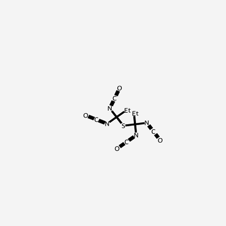 CCC(N=C=O)(N=C=O)SC(CC)(N=C=O)N=C=O